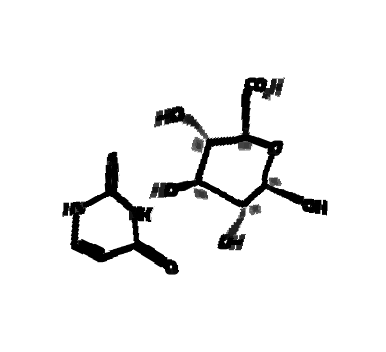 O=C(O)[C@H]1O[C@@H](O)[C@H](O)[C@@H](O)[C@@H]1O.O=c1cc[nH]c(=S)[nH]1